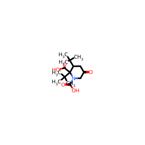 CC(C)(C)C1CC(=O)CN(C(=O)O)C1(C(=O)O)C(C)(C)C